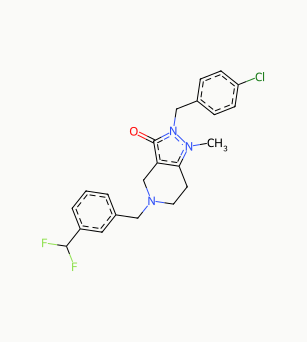 Cn1c2c(c(=O)n1Cc1ccc(Cl)cc1)CN(Cc1cccc(C(F)F)c1)CC2